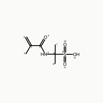 C=C(C)C(=O)NC(C)(C)S(=O)(=O)O